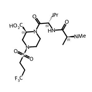 CN[C@@H](C)C(=O)N[C@H](C(=O)N1CCN(S(=O)(=O)CCC(F)(F)F)C[C@H]1C(=O)O)C(C)C